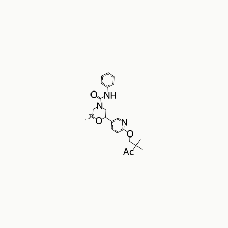 CC(=O)C(C)(C)COc1ccc(C2CN(C(=O)Nc3ccccc3)C[C@@H](C)O2)cn1